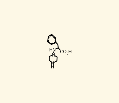 O=C(O)C(Cc1ccccc1)NN1CCNCC1